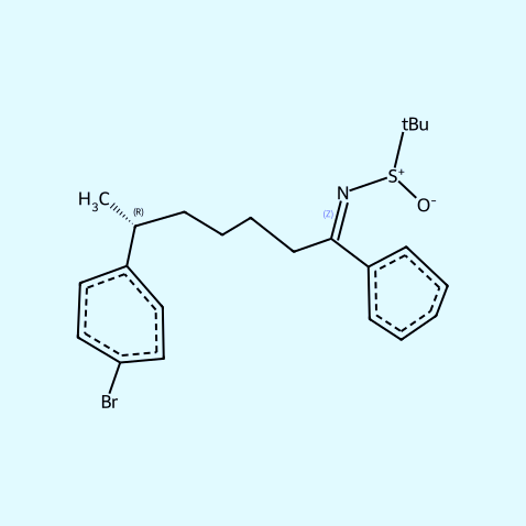 C[C@H](CCCC/C(=N/[S+]([O-])C(C)(C)C)c1ccccc1)c1ccc(Br)cc1